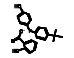 CC(C)(C)c1ccc([I+]c2ccc(O)cc2)cc1.O=C([O-])c1ccccc1O